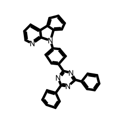 c1ccc(-c2nc(-c3ccccc3)nc(-c3ccc(-n4c5ccccc5c5cccnc54)cc3)n2)cc1